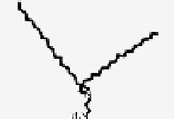 CCCCCCCCCCCCCCCCCCC1(CCCCCCCCCCCCCCCCCC)CN(CCCN)C1